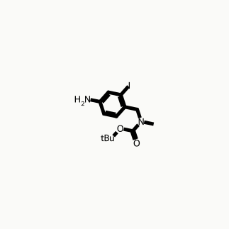 CN(Cc1ccc(N)cc1I)C(=O)OC(C)(C)C